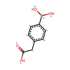 O=C(O)Cc1ccc(B(O)O)cc1